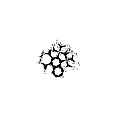 CC(C)[Si](c1c2c(c3ccccc3c1[Si](C(C)C)(C(C)C)C(C)C)C(=O)[NH][Ti][NH]C2=O)(C(C)C)C(C)C